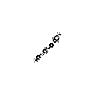 CC(=O)N1CC[C@@H]2CN(c3ccc(CNc4ccc(OCc5ccc(C(F)(F)F)nc5)nn4)cc3)C[C@@H]2CC1